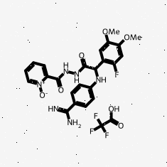 COc1cc(F)c(C(Nc2ccc(C(=N)N)cc2)C(=O)NNC(=O)c2cccc[n+]2[O-])cc1OC.O=C(O)C(F)(F)F